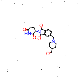 O=CC1CCN(Cc2ccc3c(c2)C(=O)N(C2CCC(=O)NC2=O)C3=O)CC1